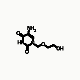 Nc1cn(COCCO)c(=O)[nH]c1=O